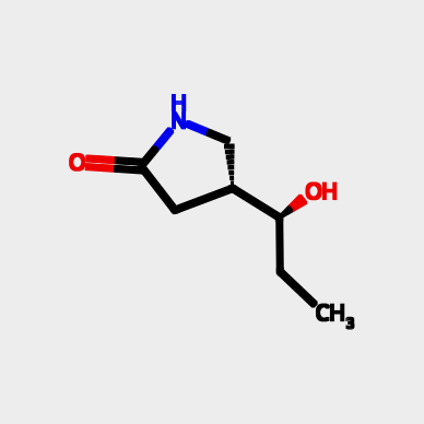 CC[C@H](O)[C@H]1CNC(=O)C1